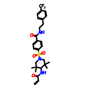 C=CC(=O)NC1C(C)(C)CN(S(=O)(=O)c2ccc(C(=O)NCCc3ccc(C(F)(F)F)cc3)cc2)CC1(C)C